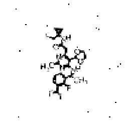 Cc1nc(CC(=O)NC2(CF)CC2)c(C2OCCO2)c(N[C@H](C)c2cccc(C(F)F)c2F)n1